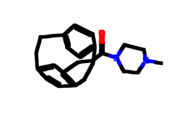 CN1CCN(C(=O)CCc2cc3ccc2CCc2ccc(cc2)CC3)CC1